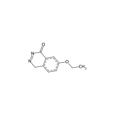 CCOc1ccc2c(c1)C(=O)N=NC2